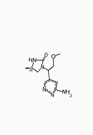 COCC(c1cnnc(N)c1)N1C[C@@H](C)NC1=O